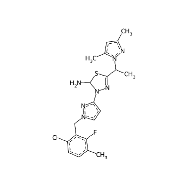 Cc1cc(C)n(C(C)C2=NN(c3ccn(Cc4c(Cl)ccc(C)c4F)n3)C(N)S2)n1